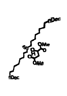 CCCCCCCCCCCCCCCCC[CH2][Sn][CH2]CCCCCCCCCCCCCCCCC.COC(=O)CC(O)C(=O)OC